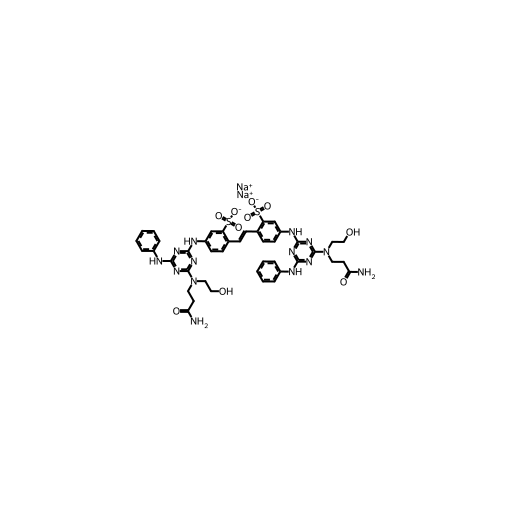 NC(=O)CCN(CCO)c1nc(Nc2ccccc2)nc(Nc2ccc(/C=C/c3ccc(Nc4nc(Nc5ccccc5)nc(N(CCO)CCC(N)=O)n4)cc3S(=O)(=O)[O-])c(S(=O)(=O)[O-])c2)n1.[Na+].[Na+]